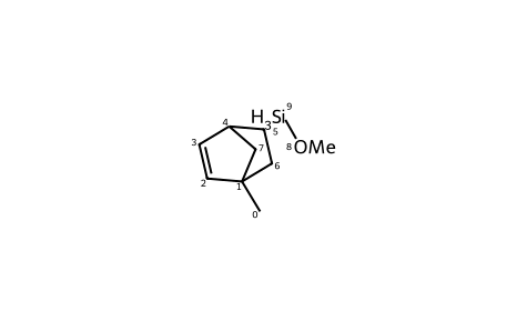 CC12C=CC(CC1)C2.CO[SiH3]